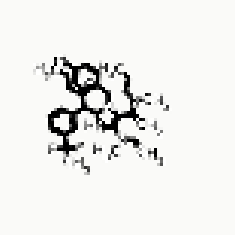 C=CN(C)C1=C(C(=C)N(C)CCC)N(Cc2ccc(Cl)cc2)C(C(C(=O)CCC)c2cccc(C(C)(F)F)c2)N1